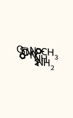 Cc1ccc2nc(N3CC[S+]([O-])c4ccccc4C3)nc(NCC3(N)CC3)c2c1